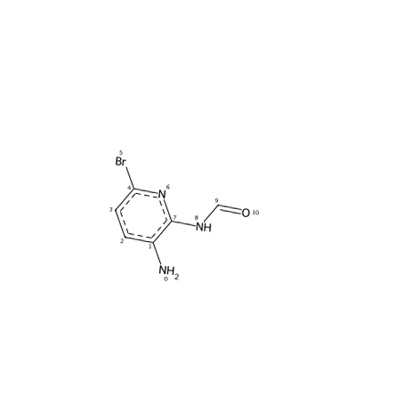 Nc1ccc(Br)nc1NC=O